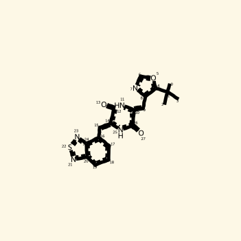 CC(C)(C)c1ocnc1C=c1[nH]c(=O)c(=Cc2cccc3nsnc23)[nH]c1=O